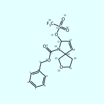 O=C(OCc1ccccc1)N1C(OS(=O)(=O)C(F)(F)F)C=CC12CCOC2